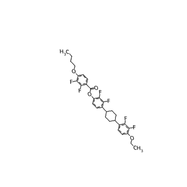 CCCCOc1ccc(C(=O)Oc2ccc(C3CCC(c4ccc(OCC)c(F)c4F)CC3)c(F)c2F)c(F)c1F